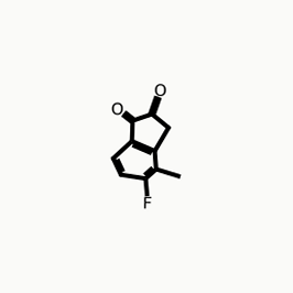 Cc1c(F)ccc2c1CC(=O)C2=O